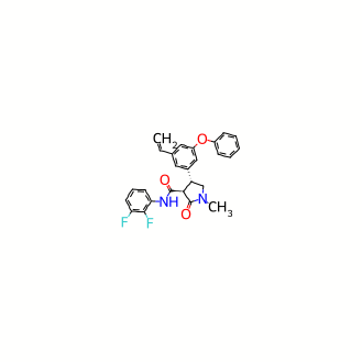 C=Cc1cc(Oc2ccccc2)cc([C@@H]2CN(C)C(=O)[C@H]2C(=O)Nc2cccc(F)c2F)c1